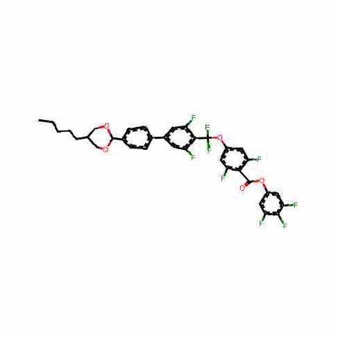 CCCCCC1COC(c2ccc(-c3cc(F)c(C(F)(F)Oc4cc(F)c(C(=O)Oc5cc(F)c(F)c(F)c5)c(F)c4)c(F)c3)cc2)OC1